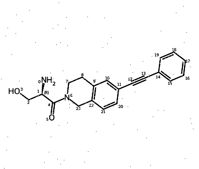 N[C@H](CO)C(=O)N1CCc2cc(C#Cc3ccccc3)ccc2C1